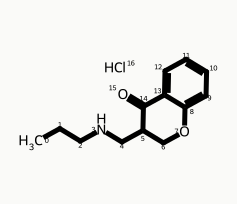 CCCNCC1COc2ccccc2C1=O.Cl